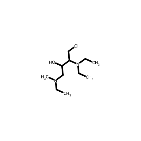 CCN(C)CC(O)C(CO)N(CC)CC